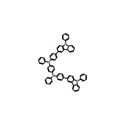 C1=CC2c3cc(-c4ccc(N(c5ccccc5)c5ccc(N(c6ccccc6)c6ccc(-c7ccc8c(c7)c7ccccc7n8-c7ccccc7)cc6)cc5)cc4)ccc3N(c3ccccc3)C2C=C1